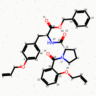 C=CCOc1ccc(C[C@H](NC(=O)[C@@H]2CCCN2C(=O)c2ccccc2OCC=C)C(=O)OCc2ccccc2)cc1